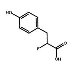 O=C(O)C(F)Cc1ccc(O)cc1